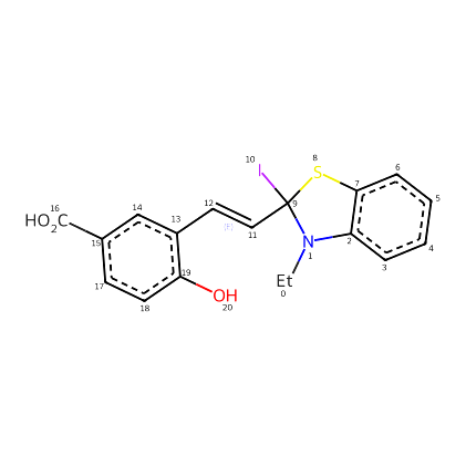 CCN1c2ccccc2SC1(I)/C=C/c1cc(C(=O)O)ccc1O